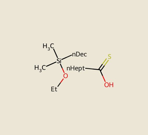 CCCCCCCC(O)=S.CCCCCCCCCC[Si](C)(C)OCC